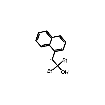 CCC(O)([CH]c1cccc2ccccc12)CC